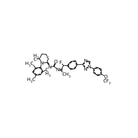 Cc1cc(C)c(N2/C(=N/C(=O)NC(C)C(F)c3ccc(-c4ncn(-c5ccc(OC(F)(F)F)cc5)n4)cc3)SCCC2C)c(C)c1